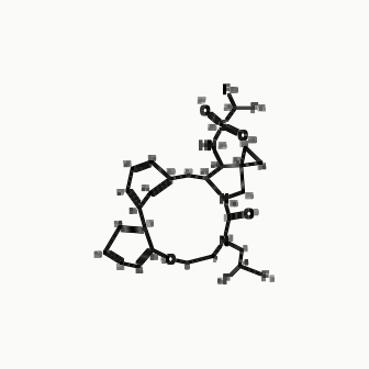 O=C1N(CC(F)F)CCOc2ccccc2-c2cccc(c2)CC2C(NS(=O)(=O)C(F)F)C3(CC3)CN12